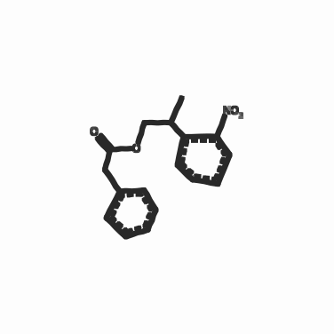 CC(COC(=O)Cc1ccccc1)c1ccccc1[N+](=O)[O-]